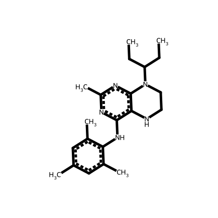 CCC(CC)N1CCNc2c(Nc3c(C)cc(C)cc3C)nc(C)nc21